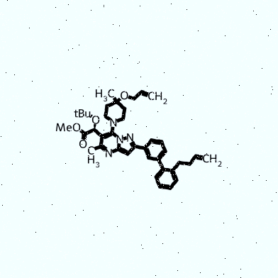 C=CCCc1ccccc1-c1cccc(-c2cc3nc(C)c([C@H](OC(C)(C)C)C(=O)OC)c(N4CCC(C)(OCC=C)CC4)n3n2)c1